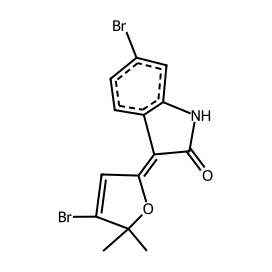 CC1(C)OC(=C2C(=O)Nc3cc(Br)ccc32)C=C1Br